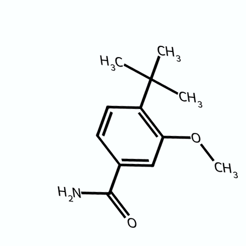 COc1cc(C(N)=O)ccc1C(C)(C)C